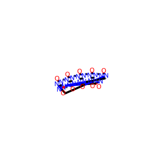 O=C1N2CN3C(=O)N4CN5C(=O)N6CN7C(=O)N8CN9C(=O)N%10CN1C1C2N2CN%11C(=O)N(CN%12C(=O)N(CN%13C(=O)N(CN%14C(=O)N(CN1C2=O)C%10C9%14)C8C7%13)C6C5%12)C4C3%11